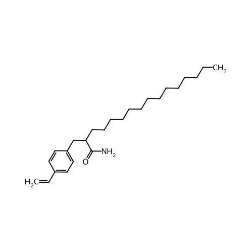 C=Cc1ccc(CC(CCCCCCCCCCCCCC)C(N)=O)cc1